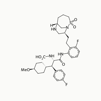 CO[C@H]1CC[C@H]([C@H](c2ccc(F)cc2)[C@H](NC(=O)O)C(=O)Nc2cccc(F)c2CC[C@H]2CN[C@@H]3CCCS(=O)(=O)N2C3)CC1